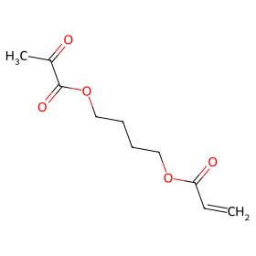 C=CC(=O)OCCCCOC(=O)C(C)=O